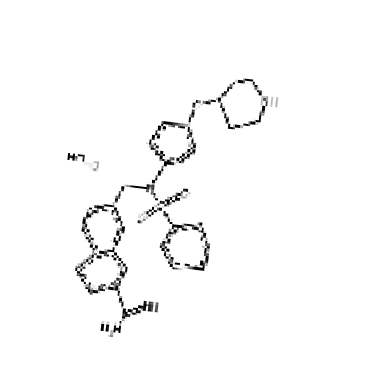 Cl.Cl.N=C(N)c1ccc2ccc(CN(c3ccc(OC4CCNCC4)cc3)S(=O)(=O)c3ccccc3)cc2c1